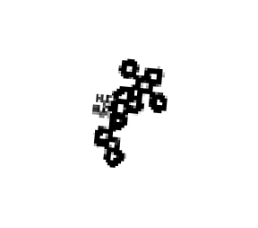 CC1(C)c2cc(C3C=CC=C4c5ccccc5SC43)ccc2-c2ccc3c4c(ccc1c24)-c1c(-c2ccccc2)c2c(c(-c4ccccc4)c1-3)C=CCC2